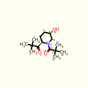 CC(C)(C)C(=O)[C@H]1CC[C@@H](O)CN1C(=O)C(C)(C)C